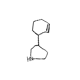 C1=CC(C2CCNC2)CCC1